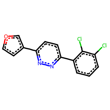 Clc1cccc(-c2ccc(-c3ccoc3)nn2)c1Cl